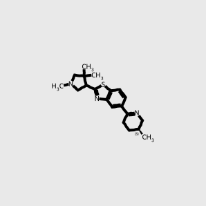 C[C@H]1CCC(c2ccc3sc(C4CN(C)CC4(C)C)nc3c2)=NC1